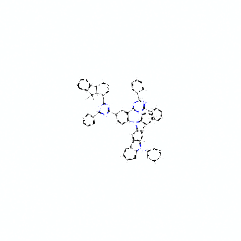 CC1(C)c2ccccc2-c2cccc(-c3nc(-c4ccccc4)nc(-c4ccc(-n5c6ccccc6c6cc7c(cc65)c5ccccc5n7-c5ccccc5)c(-c5nc(-c6ccccc6)nc(-c6ccccc6)n5)c4)n3)c21